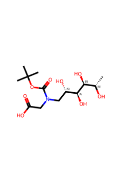 C[C@H](O)[C@H](O)[C@@H](O)[C@@H](O)CN(CC(=O)O)C(=O)OC(C)(C)C